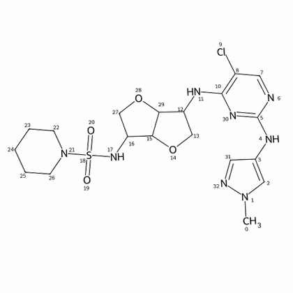 Cn1cc(Nc2ncc(Cl)c(NC3COC4C(NS(=O)(=O)N5CCCCC5)COC34)n2)cn1